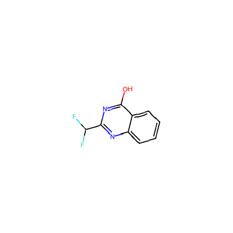 Oc1nc(C(F)F)nc2ccccc12